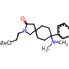 COCCN1CC2(CCC(c3ccccc3)(N(C)C)CC2)CC1=O